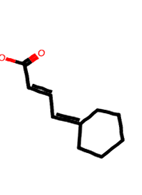 O=C(O)C=CC=C1CCCCC1